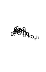 CCc1ccc(OC)c(C(C)Nc2ncc(C(=O)NC[C@H]3CC[C@H](C(=O)O)CC3)cc2Cl)c1